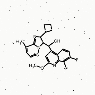 COc1cc(C(O)C2C(C3CCC3)N=C3C(C)=CC=NN32)c2ccc(F)c(F)c2n1